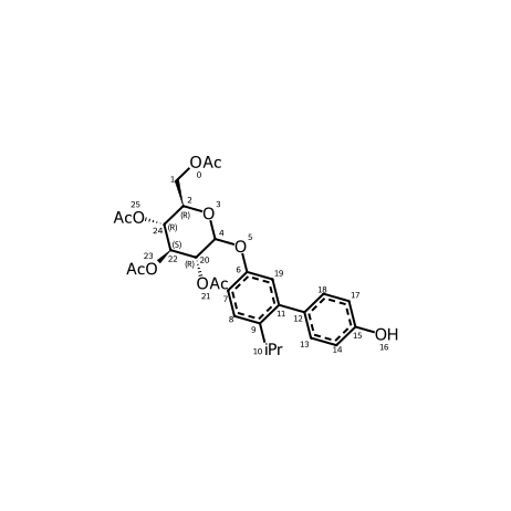 CC(=O)OC[C@H]1OC(Oc2ccc(C(C)C)c(-c3ccc(O)cc3)c2)[C@H](OC(C)=O)[C@@H](OC(C)=O)[C@@H]1OC(C)=O